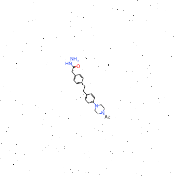 CC(=O)N1CCN(c2ccc(CCc3ccc(CC(=O)NN)cc3)cc2)CC1